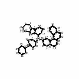 C1=Cc2c(sc3c(N(c4ccc(-c5ccccc5)cc4)c4ccc5ccc6ccc7ccccc7c6c5c4)cccc23)NC1